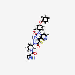 Cc1cc(Oc2ccccc2)ccc1N1C(=O)Nc2c(C(=O)N[C@@H]3CCCN(C(=O)[C@@H]4CCN4)C3)sc3nccc1c23